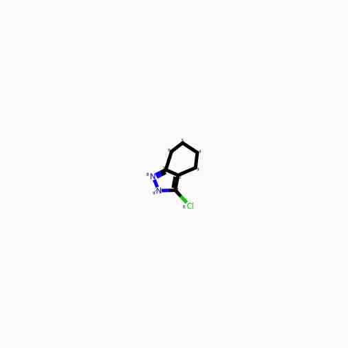 ClC1=C2CCCCC2=N[N]1